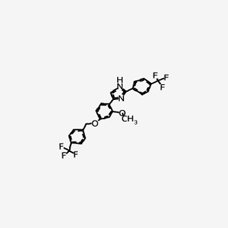 COc1cc(OCc2ccc(C(F)(F)F)cc2)ccc1-c1c[nH]c(-c2ccc(C(F)(F)F)cc2)n1